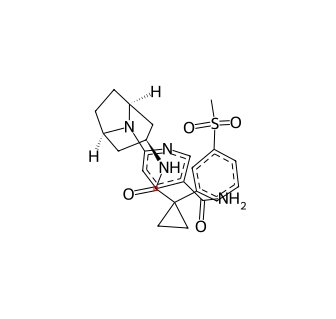 CS(=O)(=O)c1cccc(C2(C(=O)N[C@H]3C[C@H]4CC[C@@H](C3)N4c3ccc(C(N)=O)cn3)CC2)c1